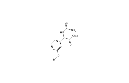 CCOc1cccc(C(NC(=N)N)C(=O)OC)c1